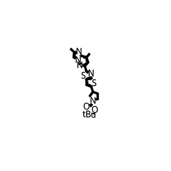 Cc1cn2nc(-c3nc4sc(C5CCN(C(=O)OC(C)(C)C)C5)cc4s3)cc(C)c2n1